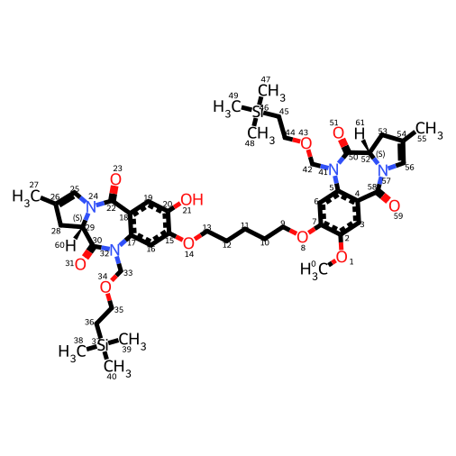 COc1cc2c(cc1OCCCCCOc1cc3c(cc1O)C(=O)N1C=C(C)C[C@H]1C(=O)N3COCC[Si](C)(C)C)N(COCC[Si](C)(C)C)C(=O)[C@@H]1CC(C)=CN1C2=O